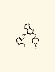 CCc1ncccc1CNc1nc(CN2CCC(Cl)CC2)nc2ncccc12